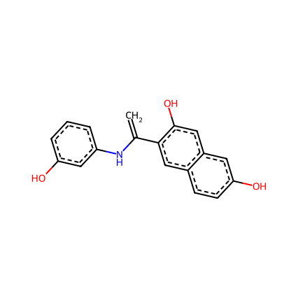 C=C(Nc1cccc(O)c1)c1cc2ccc(O)cc2cc1O